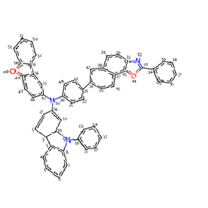 C1=CC2c3ccccc3N(c3ccccc3)C2C=C1N(c1ccc(-c2ccc3c(ccc4nc(-c5ccccc5)oc43)c2)cc1)c1ccc2oc3ccccc3c2c1